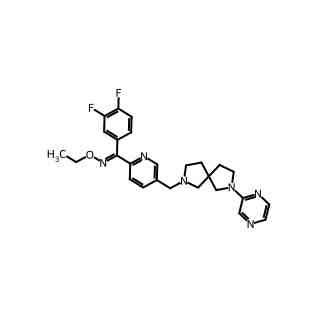 CCO/N=C(\c1ccc(F)c(F)c1)c1ccc(CN2CCC3(CCN(c4cnccn4)C3)C2)cn1